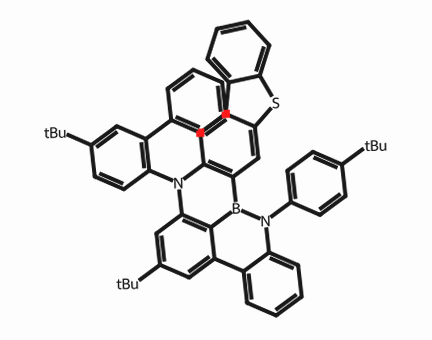 CC(C)(C)c1ccc(N2B3c4cc5sc6ccccc6c5cc4N(c4ccc(C(C)(C)C)cc4-c4ccccc4)c4cc(C(C)(C)C)cc(c43)-c3ccccc32)cc1